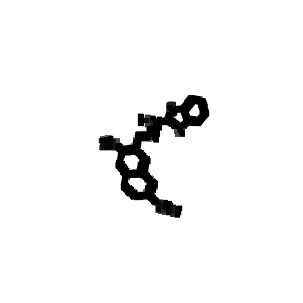 CC(C)(C)c1ccc2cc(C(C)(C)C)c(/C=N/Nc3nc4ccccc4s3)cc2c1